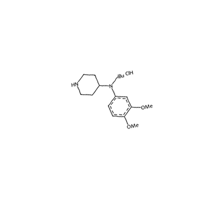 CCC(C)N(c1ccc(OC)c(OC)c1)C1CCNCC1.Cl